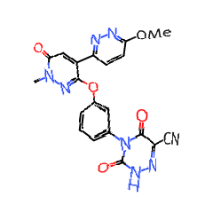 COc1ccc(-c2cc(=O)n(C)nc2Oc2cccc(-n3c(=O)[nH]nc(C#N)c3=O)c2)nn1